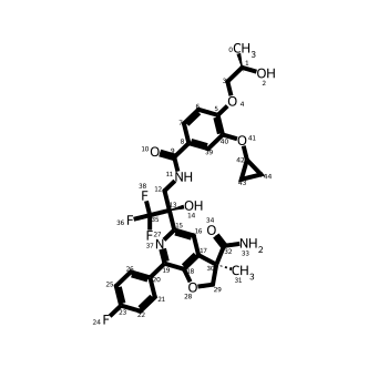 C[C@@H](O)COc1ccc(C(=O)NC[C@](O)(c2cc3c(c(-c4ccc(F)cc4)n2)OC[C@]3(C)C(N)=O)C(F)(F)F)cc1OC1CC1